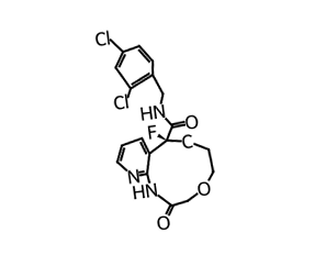 O=C1COCCC[C@@](F)(C(=O)NCc2ccc(Cl)cc2Cl)c2cccnc2N1